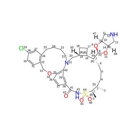 C[C@@H]1[C@@H](C)CCC[C@@H]([C@H]2O[C@H]3CNC[C@H]3O2)[C@@H]2CC[C@H]2CN2CCCCc3cc(Cl)ccc3COc3ccc(cc32)C(=O)NS1(=O)=O